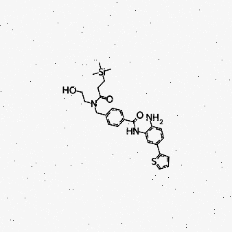 C[Si](C)(C)CCC(=O)N(CCO)Cc1ccc(C(=O)Nc2cc(-c3cccs3)ccc2N)cc1